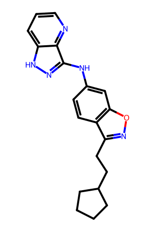 c1cnc2c(Nc3ccc4c(CCC5CCCC5)noc4c3)n[nH]c2c1